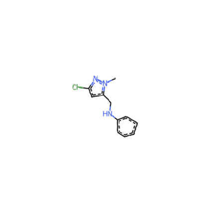 Cn1nc(Cl)cc1CNc1ccccc1